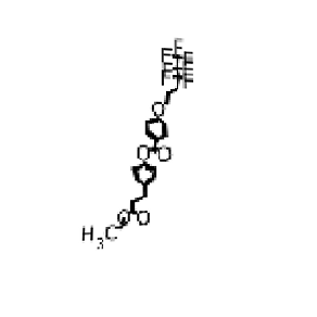 CCOC(=O)CCc1ccc(OC(=O)c2ccc(OCCCC(F)(F)C(F)(F)C(F)(F)F)cc2)cc1